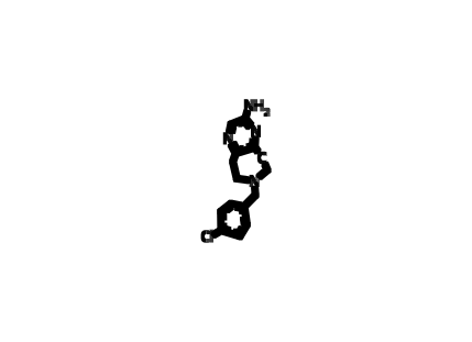 Nc1cnc2c(n1)CCN(Cc1ccc(Cl)cc1)CC2